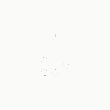 CO[Si](CCCCCCC(CP(c1ccccc1)c1ccccc1)CP(c1ccccc1)c1ccccc1)(OC)OC